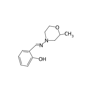 CC1CN(N=Cc2ccccc2O)CCO1